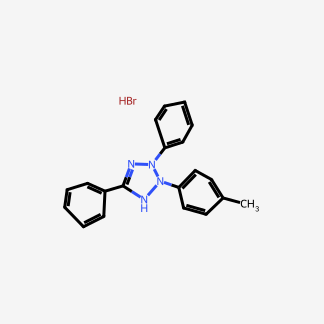 Br.Cc1ccc(N2NC(c3ccccc3)=NN2c2ccccc2)cc1